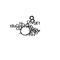 CCOc1cc2ccccc2c(O[C@@H]2C[C@H]3C(=O)N[C@]4(C(=O)NS(=O)(=O)C5(C)CC5)C[C@H]4/C=C\CC[C@H](C)C[C@@H](C)[C@H](NC(=O)OC(C)(C)C)C(=O)N3C2)n1